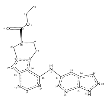 CCOC(=O)[C@H]1CCc2c(sc3ncnc(Nc4cnc5[nH]ncc5c4)c23)C1